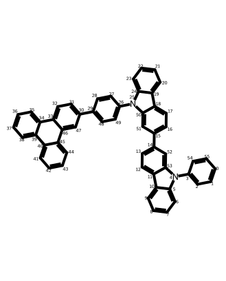 c1ccc(-n2c3ccccc3c3ccc(-c4ccc5c6ccccc6n(-c6ccc(-c7ccc8c9ccccc9c9ccccc9c8c7)cc6)c5c4)cc32)cc1